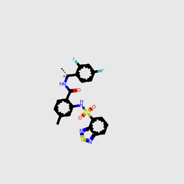 Cc1ccc(C(=O)N[C@H](C)c2ccc(F)cc2F)c(NS(=O)(=O)c2cccc3nsnc23)c1